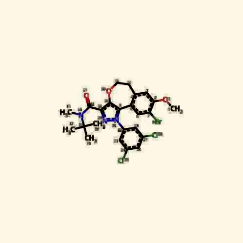 COc1cc2c(cc1Br)-c1c(c(C(=O)N(C)C(C)(C)C)nn1-c1cc(Cl)cc(Cl)c1)OCC2